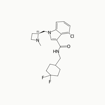 CN1CC[C@H]1Cn1cc(C(=O)NCC2CCC(F)(F)CC2)c2c(Cl)cccc21